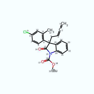 C=C=CCC1(c2ccc(Cl)cc2C)C(=O)N(C(=O)OC(C)(C)C)c2ccccc21